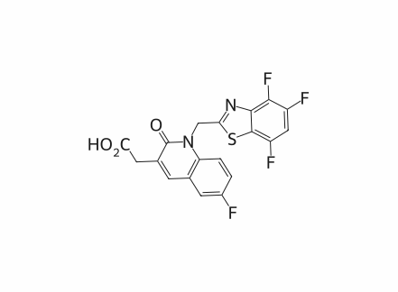 O=C(O)Cc1cc2cc(F)ccc2n(Cc2nc3c(F)c(F)cc(F)c3s2)c1=O